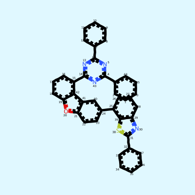 c1ccc(-c2nc(-c3ccccc3)nc(-c3cccc4oc5ccc(-c6cccc7nc(-c8ccccc8)sc67)cc5c34)n2)cc1